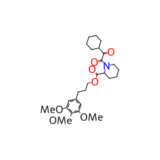 COc1cc(CCCOC(=O)C2CCCCN2C(=O)C(=O)C2CCCCC2)cc(OC)c1OC